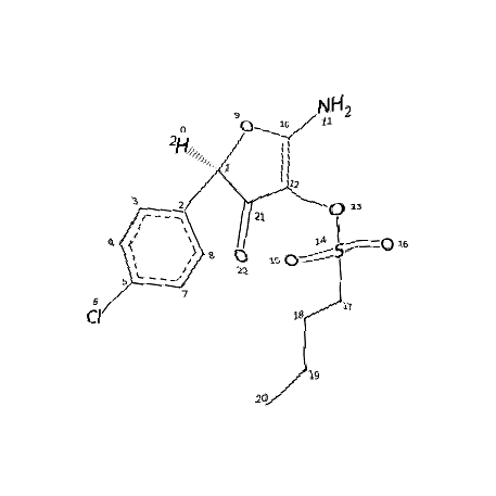 [2H][C@]1(c2ccc(Cl)cc2)OC(N)=C(OS(=O)(=O)CCCC)C1=O